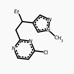 CCC(Cc1nccc(Cl)n1)c1cnn(C)c1